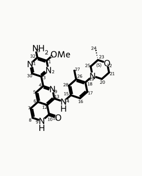 COc1nc(-c2cc3cc[nH]c(=O)c3c(Nc3ccc(N4CCO[C@@H](C)C4)c(C)c3)n2)cnc1N